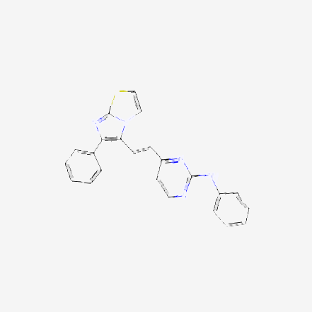 C(=Cc1c(-c2ccccc2)nc2sccn12)c1ccnc(Nc2ccccc2)n1